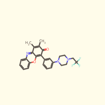 Cc1c2nc3ccccc3oc-2c(-c2cccc(N3CCN(CC(F)(F)F)CC3)c2)c(=O)c1C